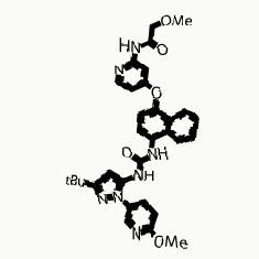 COCC(=O)Nc1cc(Oc2ccc(NC(=O)Nc3cc(C(C)(C)C)nn3-c3ccc(OC)nc3)c3ccccc23)ccn1